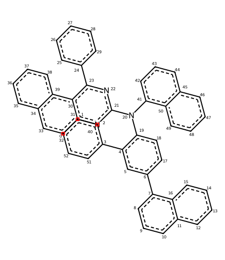 c1ccc(-c2cc(-c3cccc4ccccc34)ccc2N(c2nc(-c3ccccc3)c3c(ccc4ccccc43)n2)c2cccc3ccccc23)cc1